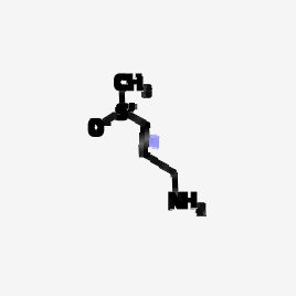 C[S+]([O-])/C=C/CN